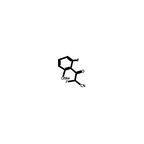 COc1cccc(F)c1C(=O)C(F)C#N